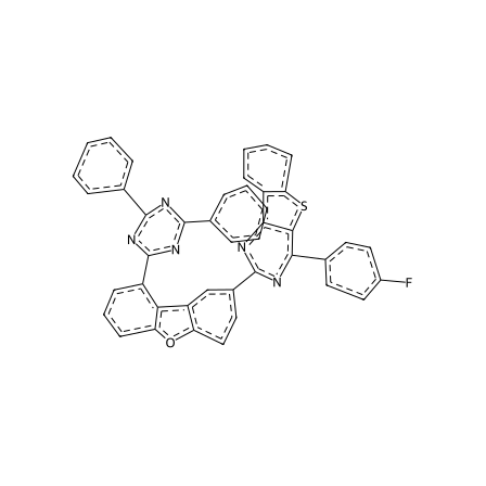 Fc1ccc(-c2nc(-c3ccc4oc5cccc(-c6nc(-c7ccccc7)nc(-c7ccccc7)n6)c5c4c3)nc3c2sc2ccccc23)cc1